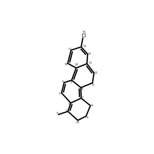 CC1=c2ccc3c(c2CCC1)CC=c1cc(Cl)ccc1=3